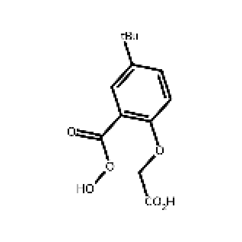 CC(C)(C)c1ccc(OCC(=O)O)c(C(=O)OO)c1